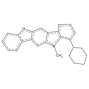 Cn1c2cc3c(cc2c2cccc(C4CCCCC4)c21)oc1ccccc13